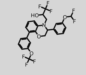 OC(CN1c2cccc(-c3cccc(OC(F)(F)F)c3)c2OCC1c1cccc(OC(F)F)c1)C(F)(F)F